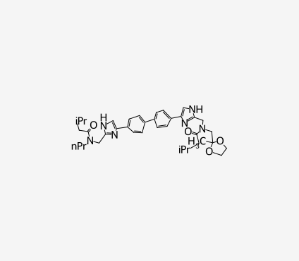 CCCN(Cc1nc(-c2ccc(-c3ccc(-c4c[nH]c(CN(CC5(C)OCCO5)C(=O)CC(C)C)n4)cc3)cc2)c[nH]1)C(=O)CC(C)C